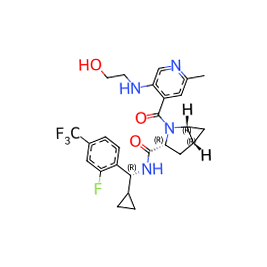 Cc1cc(C(=O)N2[C@@H](C(=O)N[C@@H](c3ccc(C(F)(F)F)cc3F)C3CC3)C[C@H]3C[C@H]32)c(NCCO)cn1